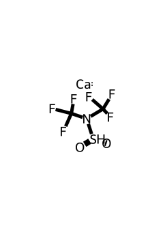 O=[SH](=O)N(C(F)(F)F)C(F)(F)F.[Ca]